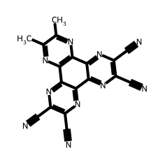 Cc1nc2c(nc1C)c1nc(C#N)c(C#N)nc1c1nc(C#N)c(C#N)nc21